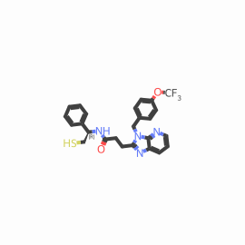 O=C(CCc1nc2cccnc2n1Cc1ccc(OC(F)(F)F)cc1)N[C@@H](CS)c1ccccc1